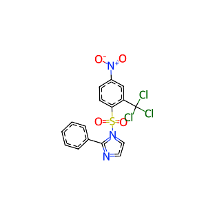 O=[N+]([O-])c1ccc(S(=O)(=O)n2ccnc2-c2ccccc2)c(C(Cl)(Cl)Cl)c1